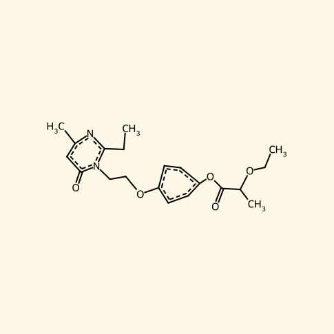 CCOC(C)C(=O)Oc1ccc(OCCn2c(CC)nc(C)cc2=O)cc1